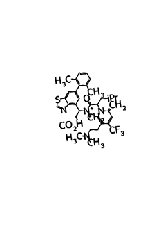 C=C1C=C(C(F)(F)F)C(CCN(C)C)=CN1C(CC(C)C)C(=O)[N+](=C)[C@@H](CC(=O)O)c1cc(-c2c(C)cccc2C)cc2scnc12